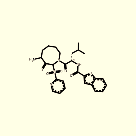 CC(C)C[C@H](NC(=O)c1cc2ccccc2o1)C(=O)N1CCCCC(N)C(=O)C1S(=O)(=O)c1ccccn1